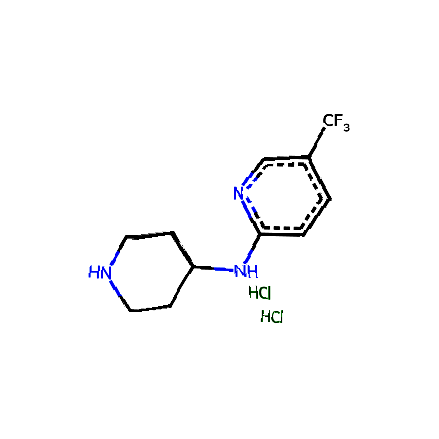 Cl.Cl.FC(F)(F)c1ccc(NC2CCNCC2)nc1